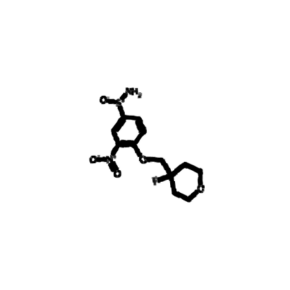 N[S+]([O-])c1ccc(OCC2(F)CCOCC2)c([N+](=O)[O-])c1